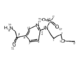 COCCN(c1ccc(C(N)=O)cn1)S(C)(=O)=O